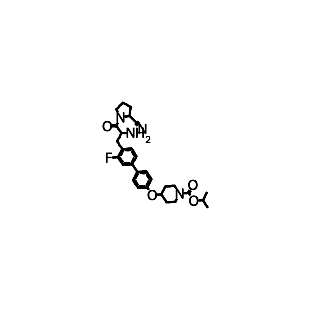 CC(C)OC(=O)N1CCC(Oc2ccc(-c3ccc(CC(N)C(=O)N4CCCC4C#N)c(F)c3)cc2)CC1